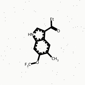 CCC(=O)c1c[nH]c2cc(OC(F)(F)F)c(C)cc12